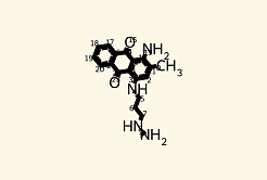 Cc1cc(NCCCNN)c2c(c1N)C(=O)c1ccccc1C2=O